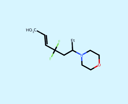 CCC(CC(F)(F)C=CC(=O)O)N1CCOCC1